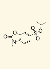 CC(C)OS(=O)(=O)c1ccc2c(c1)oc(=O)n2C